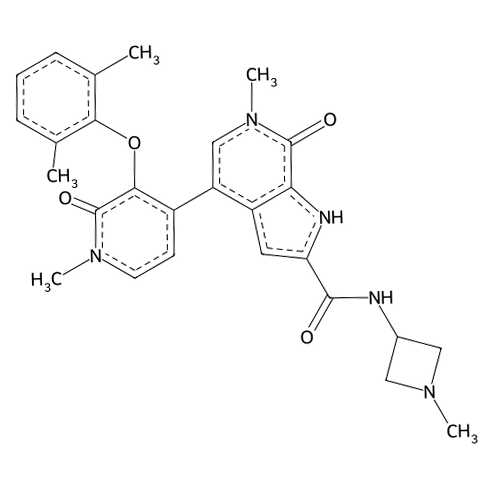 Cc1cccc(C)c1Oc1c(-c2cn(C)c(=O)c3[nH]c(C(=O)NC4CN(C)C4)cc23)ccn(C)c1=O